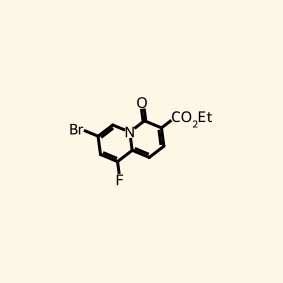 CCOC(=O)c1ccc2c(F)cc(Br)cn2c1=O